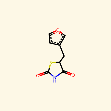 O=C1NC(=O)C(Cc2ccoc2)S1